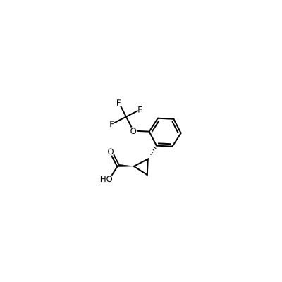 O=C(O)[C@@H]1C[C@H]1c1ccccc1OC(F)(F)F